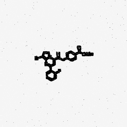 COC(=O)c1ccc(CNc2cc(-c3ccccc3F)nc3c(Br)ccn23)cc1